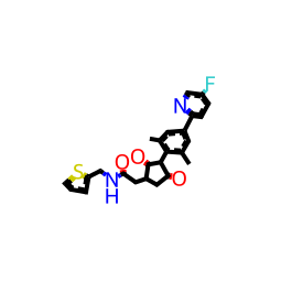 Cc1cc(-c2ccc(F)cn2)cc(C)c1C1C(=O)CC(CC(=O)NCc2cccs2)C1=O